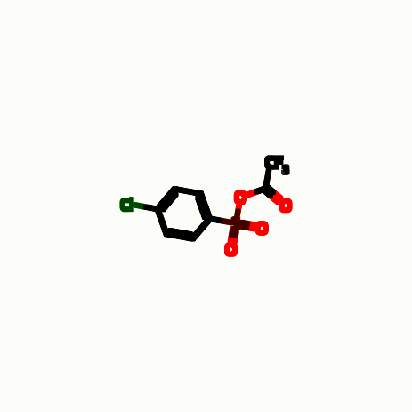 O=C(OS(=O)(=O)c1ccc(Cl)cc1)C(F)(F)F